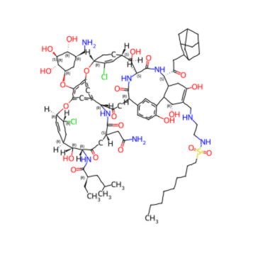 CCCCCCCCCS(=O)(=O)NCCNCC1=C(O)CC2C(c3cc(ccc3O)[C@H]3CC(=O)[C@@H]4NC(=O)[C@H](CC(N)=O)CC(=O)[C@H](NC(=O)[C@H](CC)CC(C)C)[C@H](O)[C@H]5C=C[C@@H](Oc6cc4cc(c6O[C@@H]4C[C@H](CN)[C@@H](O)[C@H](O)[C@H]4O)O[C@@H]4CC[C@@H](C=C4Cl)[C@@H](O)[C@H](NC3=O)C(=O)N[C@@H]2C(=O)CC2C3CC4CC(C3)CC2C4)[C@H](Cl)C5)[C@H]1O